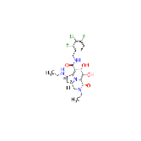 CCN[C@H]1C[C@@H]2CN(CC)C(=O)C3=C(O)C(O)C(C(=O)NCc4ccc(F)c(Cl)c4F)=C1N32